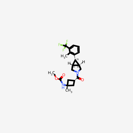 COC(=O)N[C@]1(C)C[C@H](C(=O)N2C[C@@H]3[C@H](C2)[C@H]3c2cccc(C(F)(F)F)c2C)C1